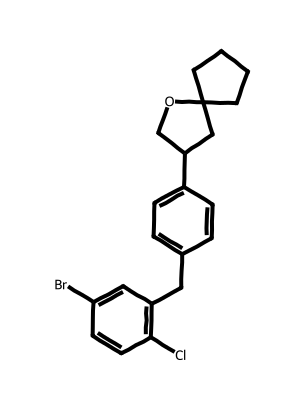 Clc1ccc(Br)cc1Cc1ccc(C2COC3(CCCC3)C2)cc1